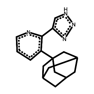 c1cnc(-c2c[nH]nn2)c(C23CC4CC(CC(C4)C2)C3)c1